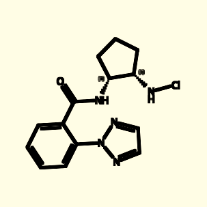 O=C(N[C@@H]1CCC[C@@H]1NCl)c1ccccc1-n1nccn1